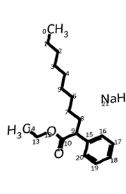 CCCCCCCCCC(C(=O)OCC)c1ccccc1.[NaH]